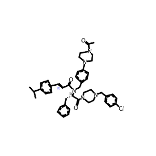 CC(=O)N1CCN(c2ccc(CN(C(=O)/C=C/c3ccc(C(C)C)cc3)[C@@H](Cc3ccccc3)C(=O)N3CCN(Cc4ccc(Cl)cc4)CC3)cc2)CC1